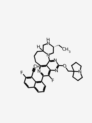 C#Cc1c(F)ccc2cccc(-c3nc4c5c(nc(OCC67CCCN6CCC7)nc5c3F)N3C[C@@H](CC)NC[C@H]3CCC4)c12